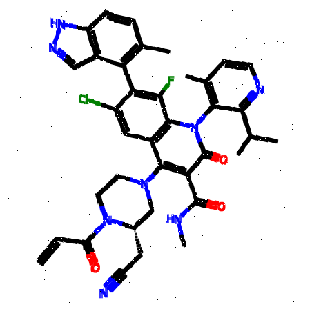 C=CC(=O)N1CCN(c2c(C(=O)NC)c(=O)n(-c3c(C)ccnc3C(C)C)c3c(F)c(-c4c(C)ccc5[nH]ncc45)c(Cl)cc23)C[C@@H]1CC#N